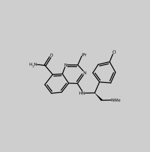 CNC[C@@H](Nc1nc(C(C)C)nc2c(C(N)=O)cccc12)c1ccc(Cl)cc1